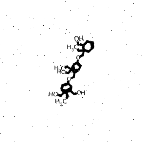 CCC1(COC2=CC3CC2C(CC)(CO)C3COC2=CC3CCC2C(CO)C3(CC)CO)CC=CCC1CO